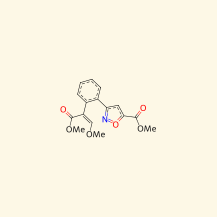 CO/C=C(\C(=O)OC)c1ccccc1-c1cc(C(=O)OC)on1